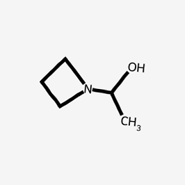 C[C](O)N1CCC1